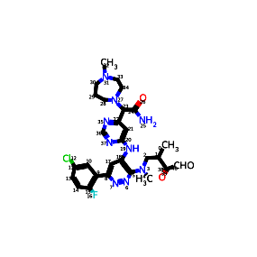 CC(CN(C)c1nnc(-c2cc(Cl)ccc2F)cc1Nc1cc(C(C(N)=O)N2CCCN(C)CC2)ncn1)C(=O)C=O